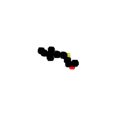 c1ccc2cc(-c3c4ccccc4c(-c4ccc(-c5ccc6sc7cc8c(ccc9oc%10ccccc%10c98)cc7c6c5)cc4)c4ccccc34)ccc2c1